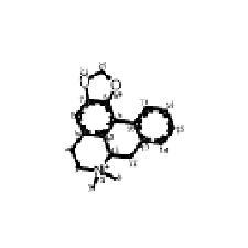 C[N+]1(C)CCc2cc3c(c4c2C1Cc1ccccc1-4)OCO3